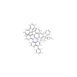 CC1(C)c2ccccc2-c2ccc(N(c3ccc(-c4ccccc4)cc3)c3c4c(c5ccccc5c3-c3ccccc3)C3(c5ccccc5-c5ccccc53)c3ccccc3-4)cc21